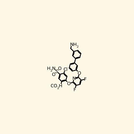 NCc1cccc(-c2cccc(Oc3nc(Oc4cc(Cl)c(S(N)(=O)=O)cc4C(=O)O)c(F)cc3F)c2)c1